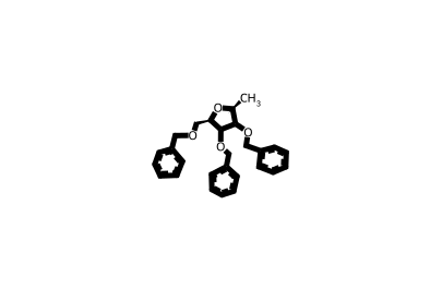 C[C@@H]1O[C@H](COCc2ccccc2)C(OCc2ccccc2)C1OCc1ccccc1